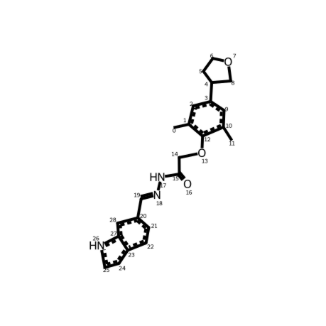 Cc1cc(C2CCOC2)cc(C)c1OCC(=O)NN=Cc1ccc2cc[nH]c2c1